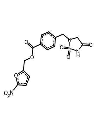 O=C1CN(Cc2ccc(C(=O)OCc3ccc([N+](=O)[O-])o3)cc2)S(=O)(=O)N1